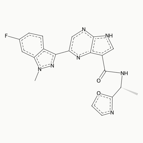 C[C@@H](NC(=O)c1c[nH]c2ncc(-c3nn(C)c4cc(F)ccc34)nc12)c1ncco1